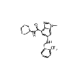 Cn1cnc2c(C(=O)NC3CCCCC3)cc(NCc3ccccc3C(F)(F)F)cc21